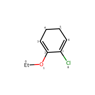 CCOC1=CC[CH]C=C1Cl